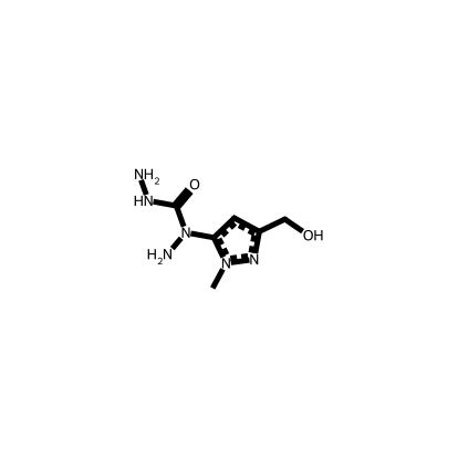 Cn1nc(CO)cc1N(N)C(=O)NN